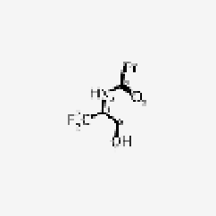 CC(C)C(=O)NC(CO)C(F)(F)F